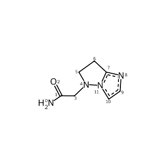 NC(=O)CN1CCc2nccn21